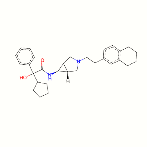 O=C(N[C@H]1C2CN(CCc3ccc4c(c3)CCCC4)C[C@@H]21)C(O)(c1ccccc1)C1CCCC1